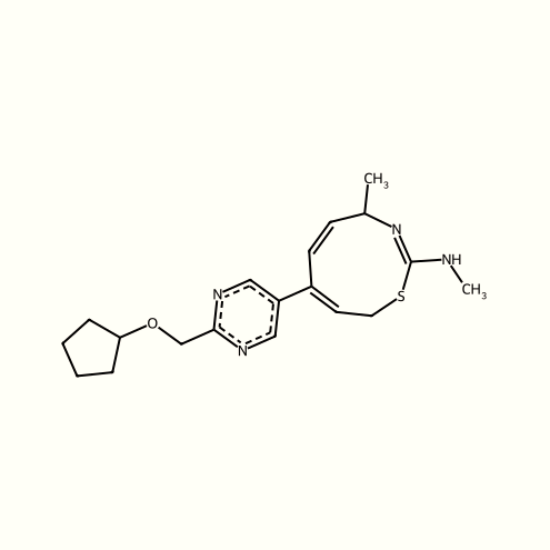 CN/C1=N/C(C)/C=C\C(c2cnc(COC3CCCC3)nc2)=C/CS1